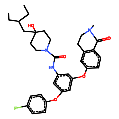 CCC(CC)CC1(O)CCN(C(=O)Nc2cc(Oc3ccc(F)cc3)cc(Oc3ccc4c(c3)CCN(C)C4=O)c2)CC1